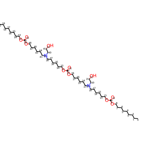 CCCCCCCCCOC(=O)OCCCCCCN(CCO)CCCCCCOC(=O)OCCCCCCN(CCO)CCCCCCOC(=O)OCCCCCCCCC